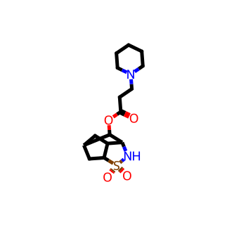 O=C(CCN1CCCCC1)OC1C2CC3C1NS(=O)(=O)C3C2